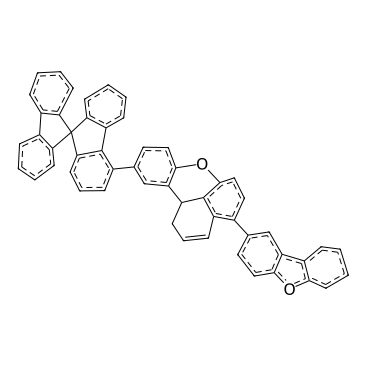 C1=Cc2c(-c3ccc4oc5ccccc5c4c3)ccc3c2C(C1)c1cc(-c2cccc4c2-c2ccccc2C42c4ccccc4-c4ccccc42)ccc1O3